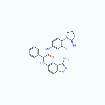 N=C1CCCN1c1ccc(NC(=O)C(Nc2ccc3onc(N)c3c2)c2ccccc2)cc1Cl